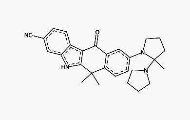 CC1(C)c2ccc(N3CCCC3(C)N3CCCC3)cc2C(=O)c2c1[nH]c1cc(C#N)ccc21